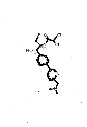 CN(C)Cc1ccc(-c2ccc([C@H](O)[C@@H](CF)NC(=O)C(Cl)Cl)cc2)cn1